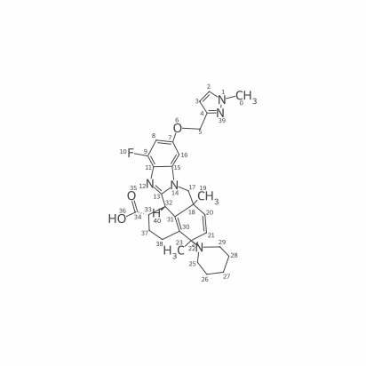 Cn1ccc(COc2cc(F)c3nc4n(c3c2)CC2(C)C=CC(C)(N3CCCCC3)C3=C2[C@@H]4[C@@H](C(=O)O)CC3)n1